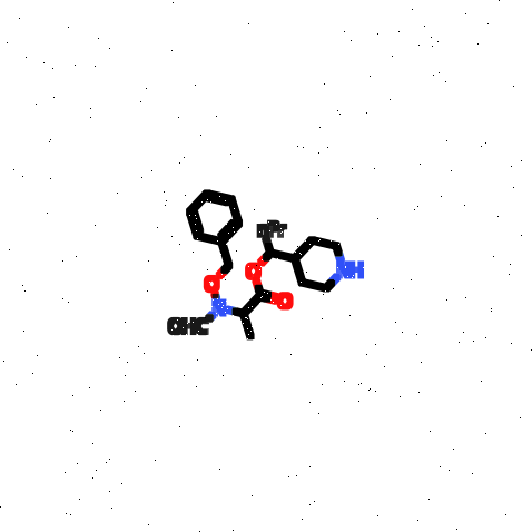 CCCC(OC(=O)C(C)N(C=O)OCc1ccccc1)C1CCNCC1